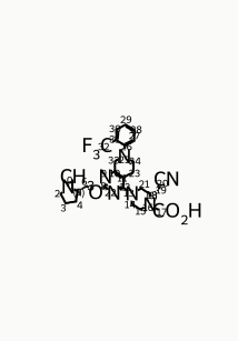 CN1CCC[C@@H]1COc1nc2c(c(N3CCN(C(=O)O)[C@@H](CC#N)C3)n1)CCN(c1ccccc1C(F)(F)F)C2